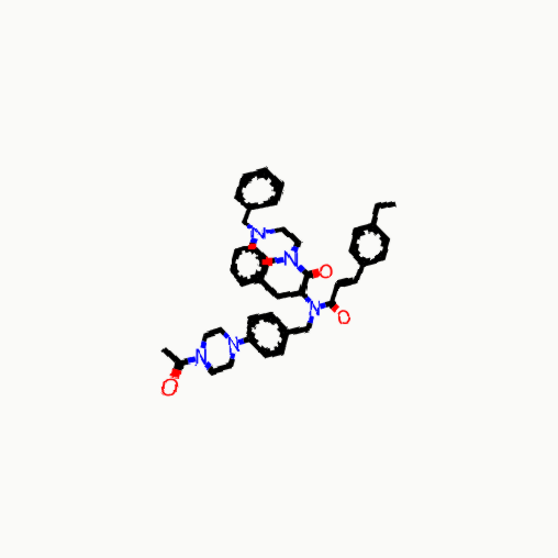 CCc1ccc(C=CC(=O)N(Cc2ccc(N3CCN(C(C)=O)CC3)cc2)C(Cc2ccccc2)C(=O)N2CCN(Cc3ccccc3)CC2)cc1